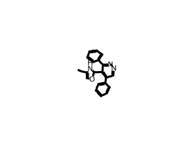 CC1=COC(c2c(-c3ccccc3)cnnc2-c2ccccc2)N1